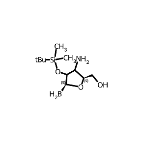 B[C@@H]1O[C@H](CO)C(N)C1O[Si](C)(C)C(C)(C)C